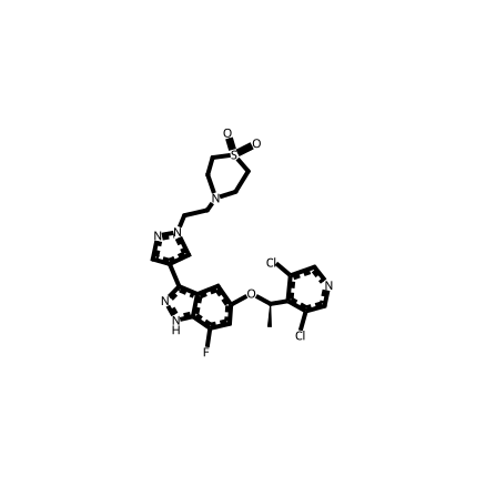 C[C@@H](Oc1cc(F)c2[nH]nc(-c3cnn(CCN4CCS(=O)(=O)CC4)c3)c2c1)c1c(Cl)cncc1Cl